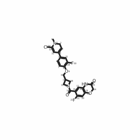 CN1CC=C(c2ccc(OCC3CN(C(=O)c4cc5c(cc4F)OCC(=O)N5)C3)c(F)c2)C=C1Cl